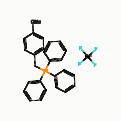 COc1ccc(C[P+](c2ccccc2)(c2ccccc2)c2ccccc2)cc1.[F][Fe-]([F])([F])[F]